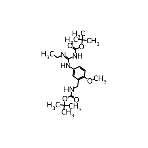 CC/N=C(/NC(=O)OC(C)(C)C)Nc1ccc(OC)c(CNC(=O)OC(C)(C)C)c1